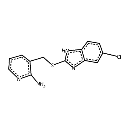 Nc1ncccc1CSc1nc2cc(Cl)ccc2[nH]1